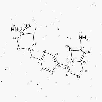 N=S1(=O)CCN(Cc2ccc(-c3cccc4nc(N)nn34)cc2)CC1